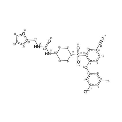 Cc1cc(Cl)cc(Oc2ccc(C#N)cc2S(=O)(=O)N2CCC(NC(=O)NCc3ccco3)CC2)c1